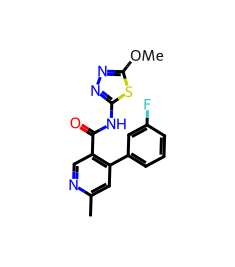 COc1nnc(NC(=O)c2cnc(C)cc2-c2cccc(F)c2)s1